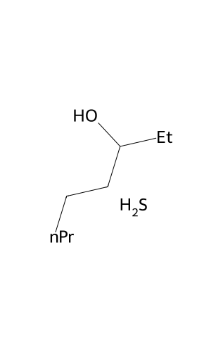 CCCCCC(O)CC.S